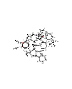 N#Cc1cc(C#N)cc(-c2ccc3c4ccccc4n(-c4ccc(-c5c(C(F)(F)F)cccc5C(F)(F)F)c(-n5c6ccccc6c6ccc(-c7cc(C#N)cc(C#N)c7)cc65)c4C#N)c3c2)c1